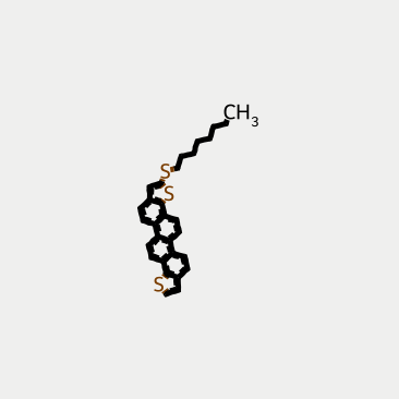 CCCCCCCCSc1cc2ccc3c4ccc5c(ccc6ccsc65)c4ccc3c2s1